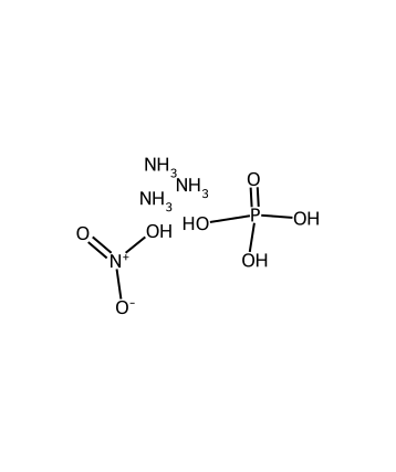 N.N.N.O=P(O)(O)O.O=[N+]([O-])O